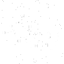 CC(C)[C@@]1(C(=O)N[C@H](C=CS(C)(=O)=O)CC(=O)O)CC(c2nccc3ccccc23)=NO1